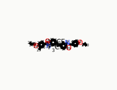 C=CCOc1ccc(-c2nc3cc(C(c4ccc5oc(-c6ccc(OCC=C)c(C)c6)nc5c4)(C(F)(F)F)C(F)(F)F)ccc3o2)cc1